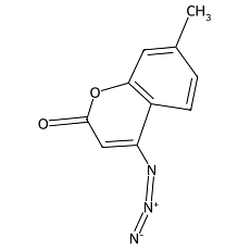 Cc1ccc2c(N=[N+]=[N-])cc(=O)oc2c1